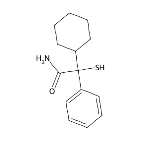 NC(=O)C(S)(c1ccccc1)C1CCCCC1